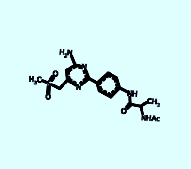 CC(=O)NC(C)C(=O)Nc1ccc(-c2nc(N)cc(CS(C)(=O)=O)n2)cc1